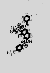 Cc1ccc(S(=O)(=O)Nc2ccc3cc(OCc4ccccc4)c(N4CC(=O)NS4(=O)=O)c(F)c3c2)cc1